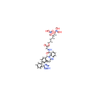 CCCCc1nc2cccc(C(=O)NCC(=O)OCCCCC(CON(O)O)ON(O)O)c2n1Cc1ccc(-c2ccccc2-c2nn[nH]n2)cc1